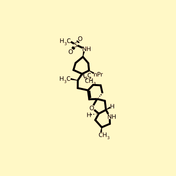 CCC[C@@H]1C[C@H](NS(C)(=O)=O)CC[C@]1(C)[C@H](C)CC1=C[C@@]2(CC[C@H]1C)C[C@@H]1NC[C@@H](C)C[C@H]1O2